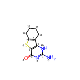 Nc1nc(=O)c2sc3c(c2[nH]1)CCCC3